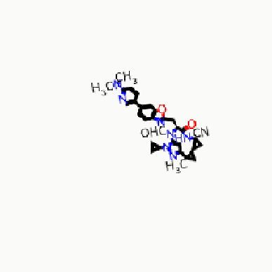 CN(C)c1ccc(-c2ccc3nc(C[C@@H](C(=O)NC4(C#N)CC4)N(C=O)c4cc(C5(C)CC5)nn4C4CC4)oc3c2)cn1